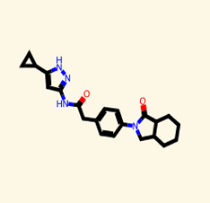 O=C(Cc1ccc(N2CC3CCCCC3C2=O)cc1)Nc1cc(C2CC2)[nH]n1